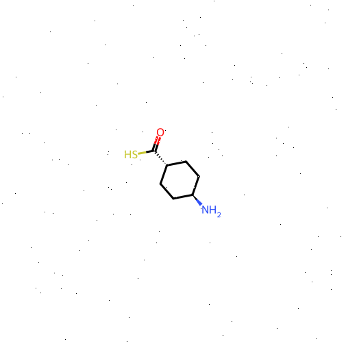 N[C@H]1CC[C@H](C(=O)S)CC1